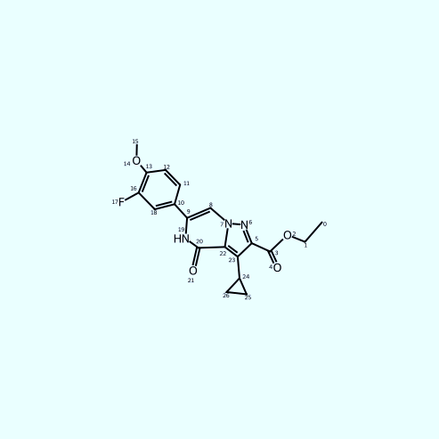 CCOC(=O)c1nn2cc(-c3ccc(OC)c(F)c3)[nH]c(=O)c2c1C1CC1